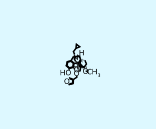 CO[C@]12CC[C@@]3(C[C@H]1COCc1ccoc1)[C@H]1Cc4ccc(O)c5c4[C@@]3(CCN1CC1CC1)C2O5